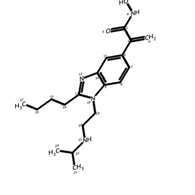 C=C(C(=O)NO)c1ccc2c(c1)nc(CCCC)n2CCNC(C)C